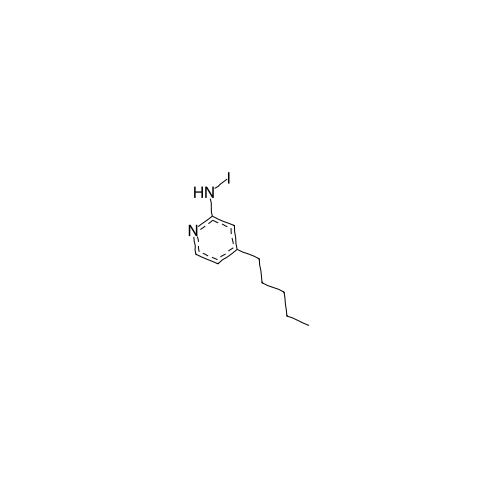 CCCCCc1ccnc(NI)c1